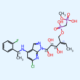 C/C=C(/COP(=O)(O)CP(=O)(O)OC)[C@@H](O)[C@@H](O)[C@@H](O)n1ncc2c(N[C@@H](C)c3ccccc3F)cc(Cl)nc21